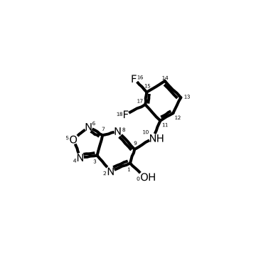 Oc1nc2nonc2nc1Nc1cccc(F)c1F